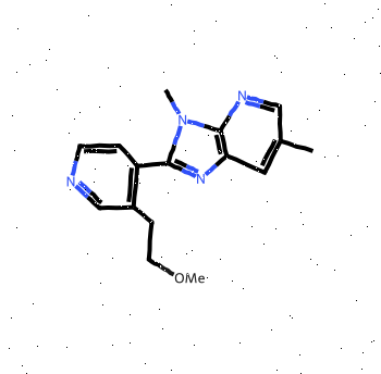 COCCc1cnccc1-c1nc2cc(C)cnc2n1C